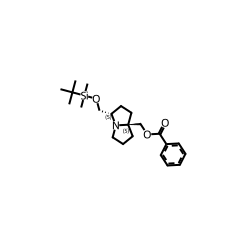 CC(C)(C)[Si](C)(C)OC[C@@H]1CC[C@]2(COC(=O)c3ccccc3)CCCN12